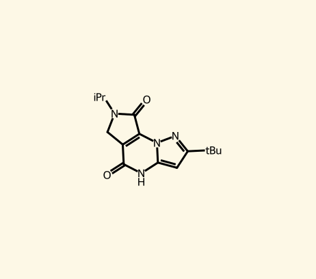 CC(C)N1Cc2c(n3nc(C(C)(C)C)cc3[nH]c2=O)C1=O